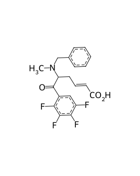 CN(Cc1ccccc1)C(CC=CC(=O)O)C(=O)c1cc(F)c(F)c(F)c1F